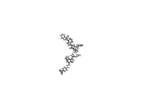 N#CCCOP(=S)(OC[C@H]1C[C@@H](n2cnc3c(OCCc4ccc([N+](=O)[O-])cc4)nc4nccn4c32)[C@@H]1CO)O[C@H]1[C@@H](F)[C@H](n2cnc3c(NC(=O)c4ccccc4)ncnc32)O[C@@H]1CO